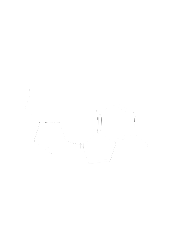 OCC1C=CC(n2ccc3c(Cl)ncnc32)C1